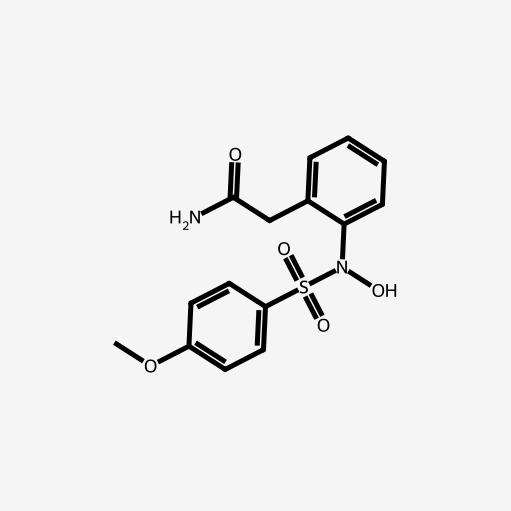 COc1ccc(S(=O)(=O)N(O)c2ccccc2CC(N)=O)cc1